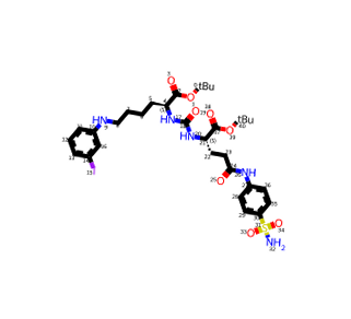 CC(C)(C)OC(=O)[C@H](CCCCNc1cccc(I)c1)NC(=O)N[C@@H](CCC(=O)Nc1ccc(S(N)(=O)=O)cc1)C(=O)OC(C)(C)C